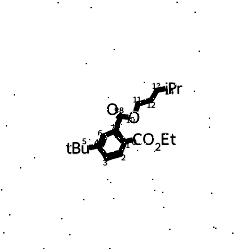 CCOC(=O)c1ccc(C(C)(C)C)cc1C(=O)OCCCC(C)C